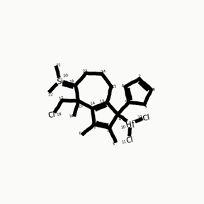 CC1=C(C)[C](C2=CC=CC2)([Hf]([Cl])[Cl])C2=C1C(C)(CCl)C(=[Si](C)C)CCC2